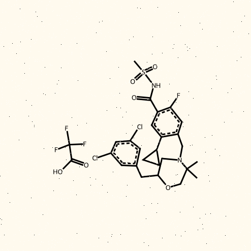 CC1(C)COC(Cc2cc(Cl)cc(Cl)c2)CN1Cc1cc(F)c(C(=O)NS(C)(=O)=O)cc1C1CC1.O=C(O)C(F)(F)F